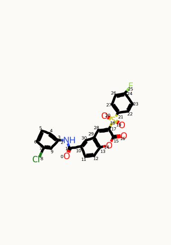 O=C(Nc1cccc(Cl)c1)c1ccc2oc(=O)c(S(=O)(=O)c3ccc(F)cc3)cc2c1